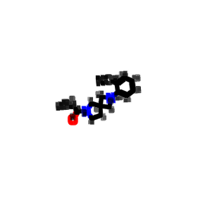 CCCCC(=O)N1CCC2(C1)CN(c1ccccc1C#N)C2